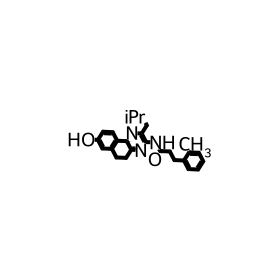 Cc1ccccc1CCC(=O)Nc1nc2c(nc1CC(C)C)-c1ccc(O)cc1CC2